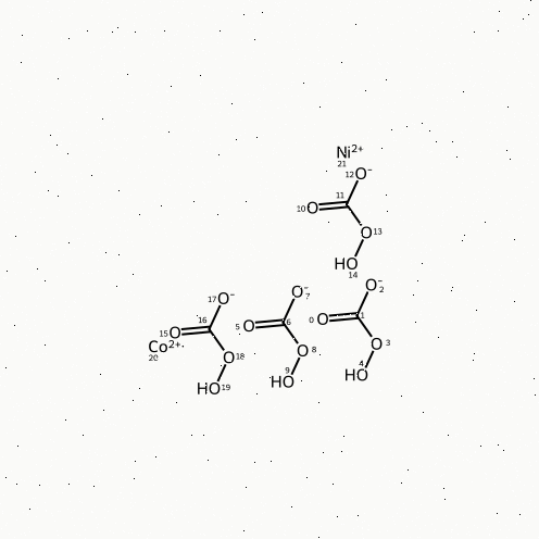 O=C([O-])OO.O=C([O-])OO.O=C([O-])OO.O=C([O-])OO.[Co+2].[Ni+2]